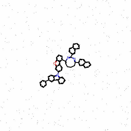 C1=C(c2cccc3oc4cc(-n5c6ccccc6c6cc(-c7ccccc7)ccc65)ccc4c23)/N=C(c2ccc3ccccc3c2)\N=C(\c2ccc3ccccc3c2)CCC\1